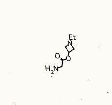 CCN1CC(OC(=O)CN)C1